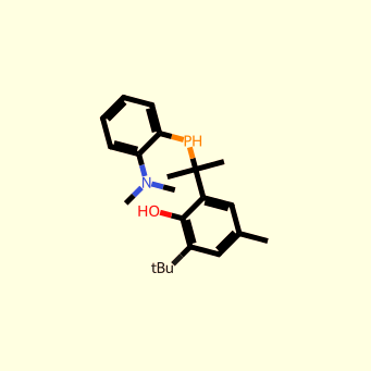 Cc1cc(C(C)(C)C)c(O)c(C(C)(C)Pc2ccccc2N(C)C)c1